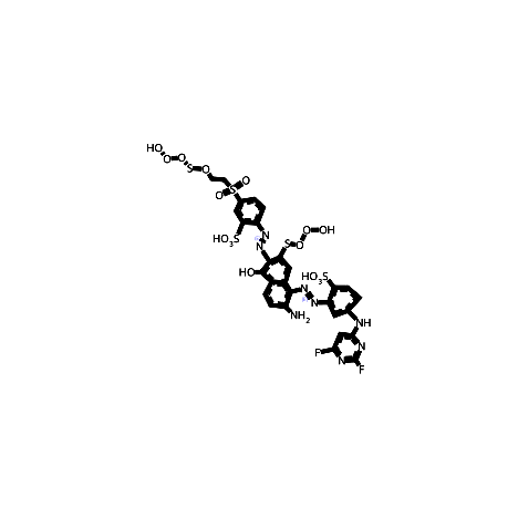 Nc1ccc2c(O)c(/N=N/c3ccc(S(=O)(=O)CCOSOOO)cc3S(=O)(=O)O)c(SOOO)cc2c1/N=N/c1cc(Nc2cc(F)nc(F)n2)ccc1S(=O)(=O)O